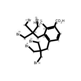 O=C(O)c1ccc(CC(CBr)(CBr)CBr)c(CC(CBr)(CBr)CBr)c1C(=O)O